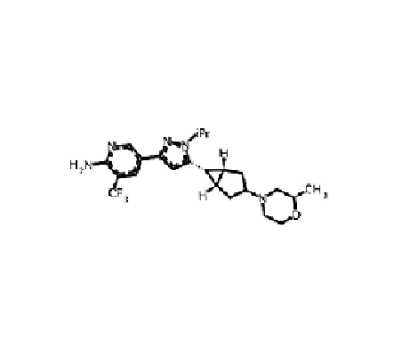 CC(C)n1nc(-c2cnc(N)c(C(F)(F)F)c2)cc1[C@@H]1[C@@H]2CC(N3CCO[C@H](C)C3)C[C@@H]21